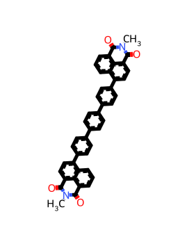 CN1C(=O)c2cccc3c(-c4ccc(-c5ccc(-c6ccc(-c7ccc8c9c(cccc79)C(=O)N(C)C8=O)cc6)cc5)cc4)ccc(c23)C1=O